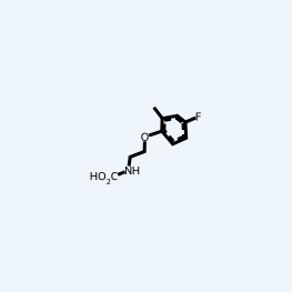 Cc1cc(F)ccc1OCCNC(=O)O